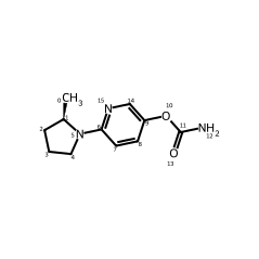 C[C@@H]1CCCN1c1ccc(OC(N)=O)cn1